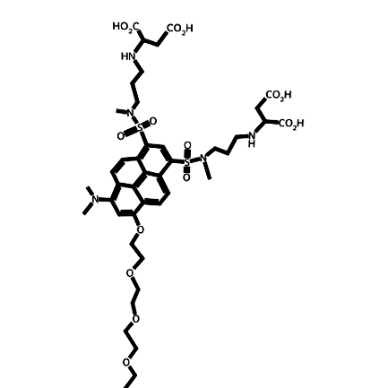 CN(C)c1cc(OCCOCCOCCOCCO)c2ccc3c(S(=O)(=O)N(C)CCCNC(CC(=O)O)C(=O)O)cc(S(=O)(=O)N(C)CCCNC(CC(=O)O)C(=O)O)c4ccc1c2c34